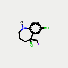 CN1CCCC(Cl)(CI)c2cc(Cl)ccc21